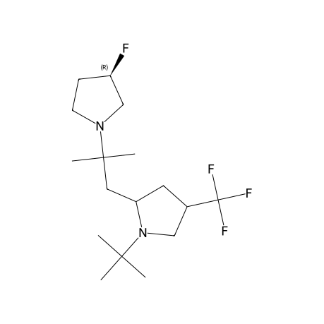 CC(C)(C)N1CC(C(F)(F)F)CC1CC(C)(C)N1CC[C@@H](F)C1